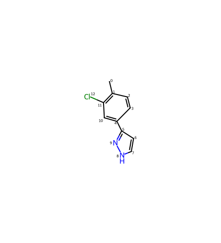 Cc1ccc(-c2cc[nH]n2)cc1Cl